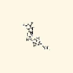 Fc1cc(F)c(F)c(-c2ccc(N[C@H]3C[C@@H]4CN(CCC(F)(F)F)C[C@@H]4C3)nn2)c1